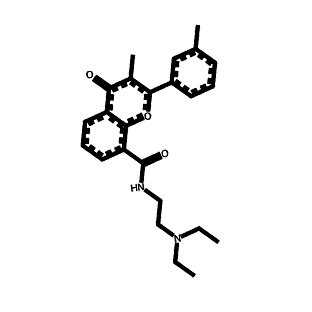 CCN(CC)CCNC(=O)c1cccc2c(=O)c(C)c(-c3cccc(C)c3)oc12